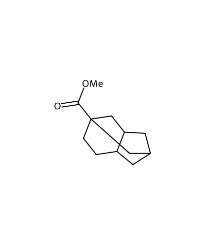 COC(=O)C12CCC3CC(CC3C1)C2